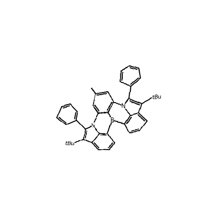 Cc1cc2c3c(c1)-n1c(-c4ccccc4)c(C(C)(C)C)c4cccc(c41)B3c1cccc3c(C(C)(C)C)c(-c4ccccc4)n-2c13